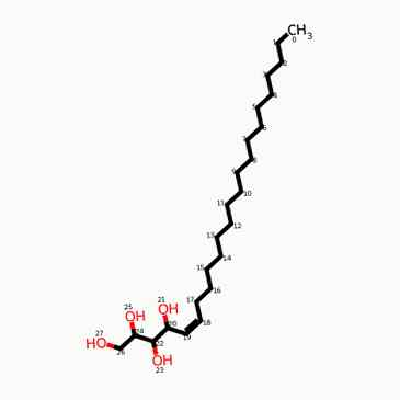 CCCCCCCCCCCCCCCCCC/C=C\C(O)C(O)C(O)CO